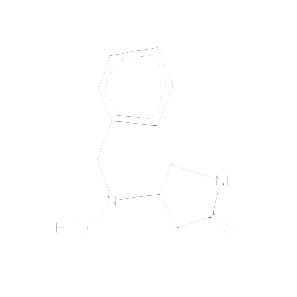 C[C@H](c1ccccc1)N(C(=O)O)C1CNC(=O)C1